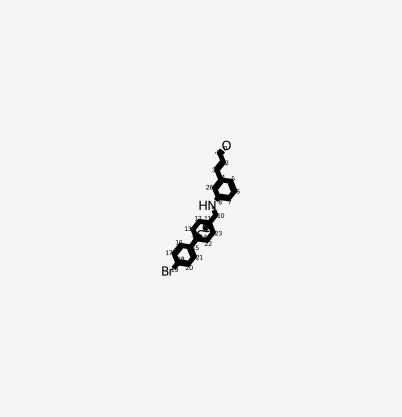 O=[C]/C=C/c1cccc(NCC23CCC(c4ccc(Br)cc4)(CC2)CC3)c1